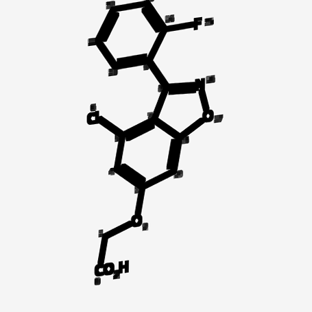 O=C(O)COc1cc(Cl)c2c(-c3ccccc3F)noc2c1